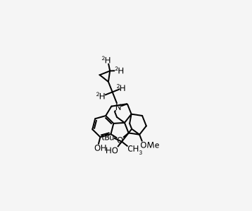 [2H]C1([2H])CC1C([2H])([2H])N1CCC23c4c5ccc(O)c4OC2C2(OC)CCC3(CC2C(C)(O)C(C)(C)C)C1C5